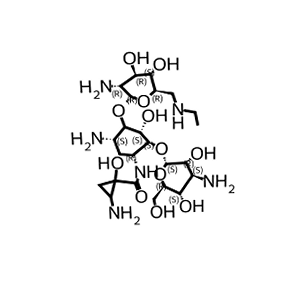 CCNC[C@H]1O[C@H](OC2[C@@H](N)C[C@@H](NC(=O)C3(O)CC3N)[C@H](O[C@H]3O[C@H](CO)[C@@H](O)[C@H](N)[C@H]3O)[C@H]2O)[C@H](N)[C@@H](O)[C@@H]1O